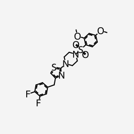 COc1ccc(S(=O)(=O)N2CCN(c3nc(Cc4ccc(F)c(F)c4)cs3)CC2)c(OC)c1